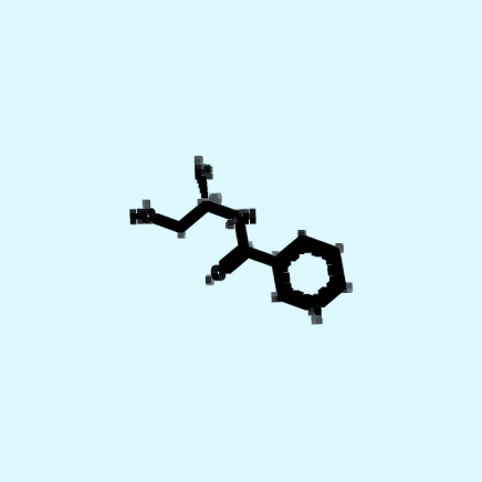 CC[C@@H](CO)NC(=O)c1cccnc1